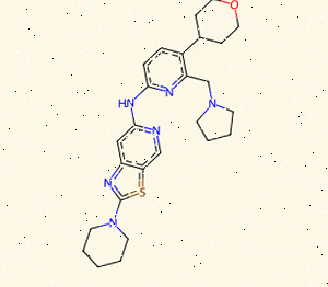 c1cc(C2CCOCC2)c(CN2CCCC2)nc1Nc1cc2nc(N3CCCCC3)sc2cn1